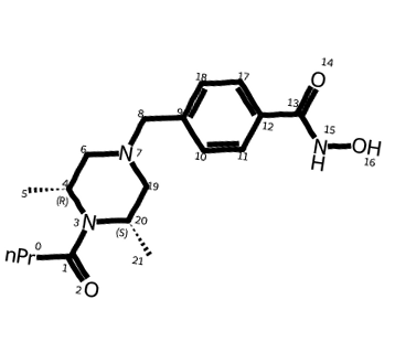 CCCC(=O)N1[C@H](C)CN(Cc2ccc(C(=O)NO)cc2)C[C@@H]1C